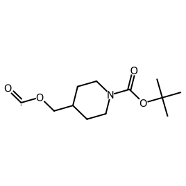 CC(C)(C)OC(=O)N1CCC(CO[C]=O)CC1